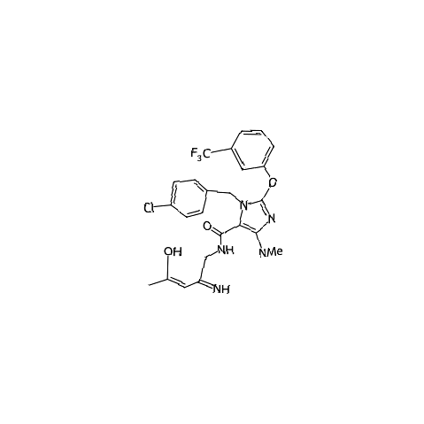 CNc1nc(Oc2cccc(C(F)(F)F)c2)n(Cc2ccc(Cl)cc2)c1C(=O)NCC(=N)/C=C(/C)O